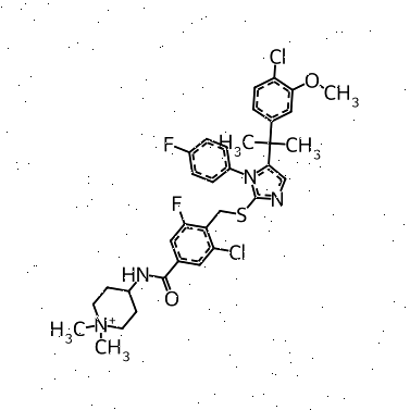 COc1cc(C(C)(C)c2cnc(SCc3c(F)cc(C(=O)NC4CC[N+](C)(C)CC4)cc3Cl)n2-c2ccc(F)cc2)ccc1Cl